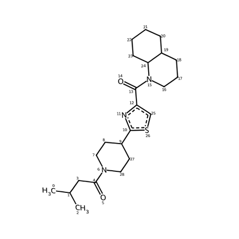 CC(C)CC(=O)N1CCC(c2nc(C(=O)N3CCCC4CCCCC43)cs2)CC1